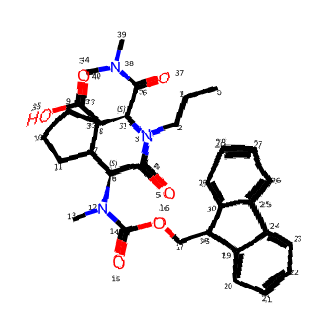 CCCN(C(=O)[C@H](C1CCCC1)N(C)C(=O)OCC1c2ccccc2-c2ccccc21)[C@@H](CC(=O)O)C(=O)N(C)C